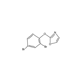 Brc1ccc(Oc2ncco2)c(Br)c1